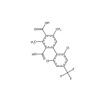 Cc1cc(-c2c(Cl)cc(C(F)(F)F)cc2Cl)c(C(=O)O)c(C)c1C(=O)O